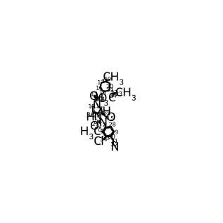 Cc1c(N2C(=O)[C@@H]3C4C[C@H](CN4C(=O)O[C@H]4CC[C@@H](C)C[C@@H]4C(C)C)N3C2=O)ccc(C#N)c1Cl